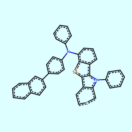 c1ccc(N(c2ccc(-c3ccc4ccccc4c3)cc2)c2cccc3c2sc2c4ccccc4n(-c4ccccc4)c32)cc1